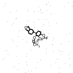 COCOc1c(-c2ccc3cocc3c2)ccc(OC(F)F)c1OC